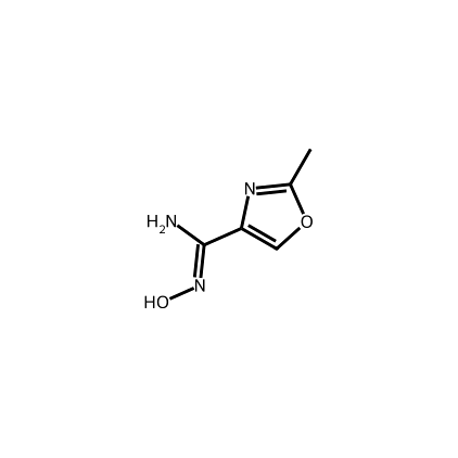 Cc1nc(/C(N)=N/O)co1